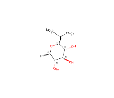 CC[C@H]1O[C@@H](C(C(=O)O)C(=O)O)[C@H](O)[C@@H](O)[C@@H]1O